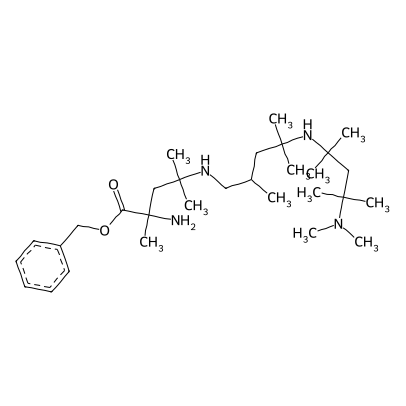 CC(CNC(C)(C)CC(C)(N)C(=O)OCc1ccccc1)CC(C)(C)NC(C)(C)CC(C)(C)N(C)C